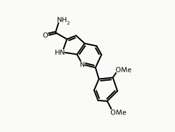 COc1ccc(-c2ccc3cc(C(N)=O)[nH]c3n2)c(OC)c1